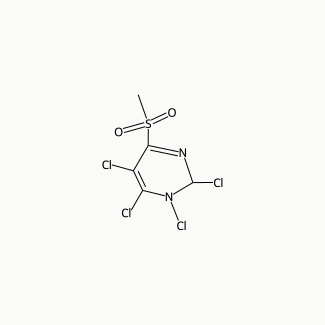 CS(=O)(=O)C1=NC(Cl)N(Cl)C(Cl)=C1Cl